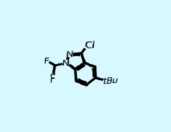 CC(C)(C)c1ccc2c(c1)c(Cl)nn2C(F)F